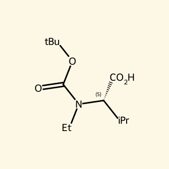 CCN(C(=O)OC(C)(C)C)[C@H](C(=O)O)C(C)C